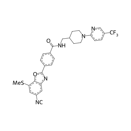 [C-]#[N+]c1cc(SC)c2oc(-c3ccc(C(=O)NCC4CCN(c5ccc(C(F)(F)F)cn5)CC4)cc3)nc2c1